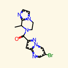 CC1c2nccn2CCN1C(=O)c1cc2ncc(Br)cn2n1